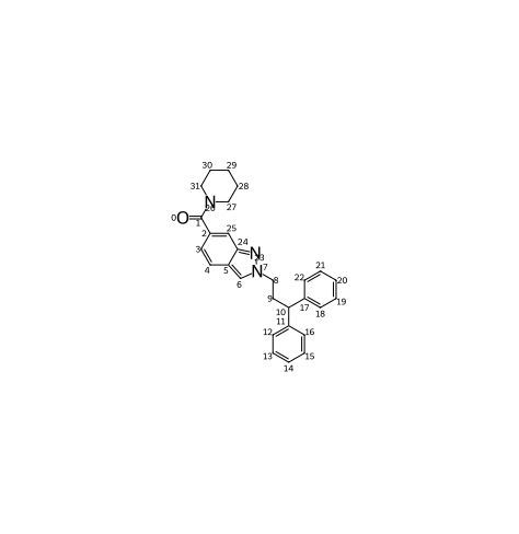 O=C(c1ccc2cn(CCC(c3ccccc3)c3ccccc3)nc2c1)N1CCCCC1